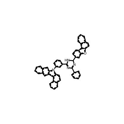 c1ccc(C2=NC(c3ccc4c(c3)oc3ccc5ccccc5c34)NC(c3cccc(-n4c5cc6ccccc6cc5c5c6ccccc6ccc54)c3)=N2)cc1